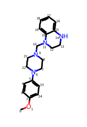 COc1ccc(N2CCN(CN3CCNc4ccccc43)CC2)cc1